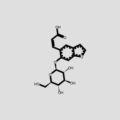 O=C(O)/C=C\c1cc2ccoc2cc1O[C@@H]1O[C@H](CO)[C@@H](O)[C@H](O)[C@H]1O